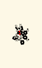 COCCO[C@@H]1[C@H](O[P@]2O[C@H](C[S+]([O-])c3ccccc3)[C@@H]3CCCN32)[C@@H](COC(c2ccccc2)(c2ccc(OC)cc2)c2ccc(OC)cc2)O[C@H]1n1c(=O)cc[nH]c1=O